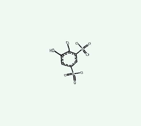 O=S(=O)(Cl)c1cc(O)c(Cl)c(S(=O)(=O)Cl)c1